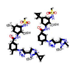 COc1c(NC(=O)c2ccc(C)c(-n3cc(-c4cnc(C)n4C(C)(C)C)nn3)c2)cc(C2(C)CC2)cc1NS(C)(=O)=O.COc1c(NC(=O)c2ccc(C)c(-n3cc(-c4cnc(C5CC5)n4C(C)(C)C)nn3)c2)cc(C(C)(C)C)cc1NS(C)(=O)=O